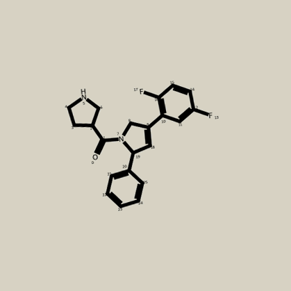 O=C(C1CCNC1)N1CC(c2cc(F)ccc2F)=CC1c1ccccc1